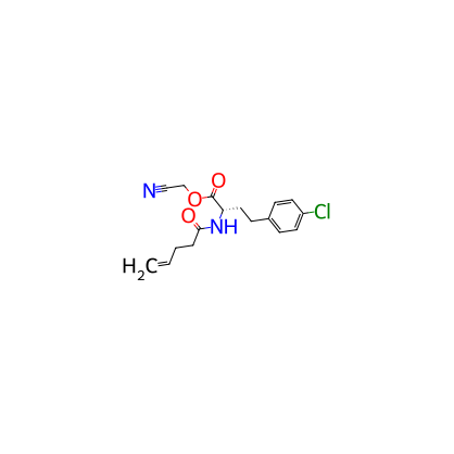 C=CCCC(=O)N[C@@H](CCc1ccc(Cl)cc1)C(=O)OCC#N